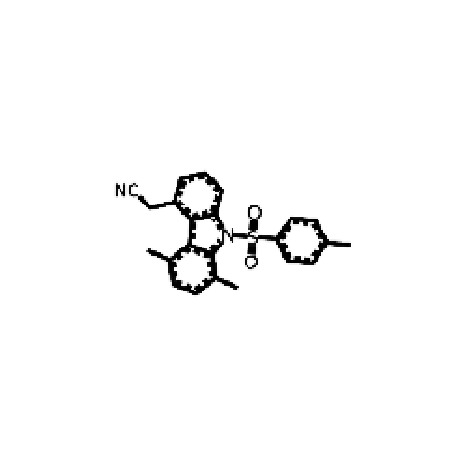 Cc1ccc(S(=O)(=O)n2c3cccc(CC#N)c3c3c(C)ccc(C)c32)cc1